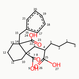 CCCCC(CC1(C(=O)O)CCCCC1(Cc1ccccc1)C(=O)O)C(=O)O